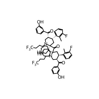 Cc1c(F)cccc1[C@@H]1C[C@](C(=O)[C@]2(C3CCCNC3)C[C@@H](c3cccc(F)c3C)[C@@H](C(=O)c3cccc(O)c3)CN2CCCC(F)(F)F)(C2CCCNC2)N(CCCC(F)(F)F)C[C@@H]1C(=O)c1cccc(O)c1